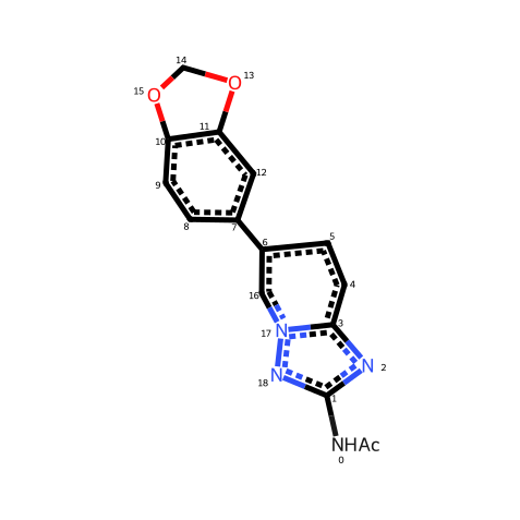 CC(=O)Nc1nc2ccc(-c3ccc4c(c3)OCO4)cn2n1